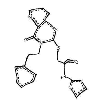 O=C(CSc1nc2cccnc2c(=O)n1CCc1ccccc1)Nc1nccs1